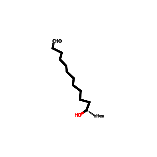 CCCCCC[C@H](O)CCCCCCCCCCC=O